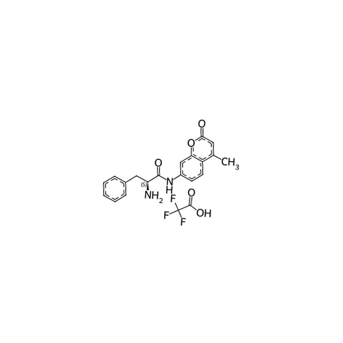 Cc1cc(=O)oc2cc(NC(=O)[C@@H](N)Cc3ccccc3)ccc12.O=C(O)C(F)(F)F